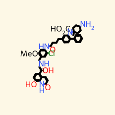 COc1cc(NC(=O)CCCc2ccc(-c3ccccc3)c(N(C(=O)O)C3(C)CCC(N)CC3)c2)c(Cl)cc1CNC[C@@H](O)c1ccc(O)c2[nH]c(=O)ccc12